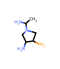 CC(N)N1CC(N)C(P)C1